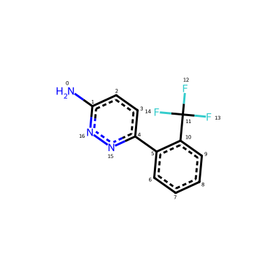 Nc1ccc(-c2ccccc2C(F)(F)F)nn1